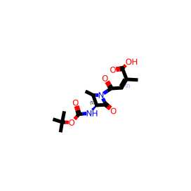 C/C(=C/C(=O)N1C(=O)[C@@H](NC(=O)OC(C)(C)C)C1C)C(=O)O